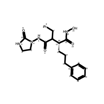 CC(C)CC(C(=O)NN1CCNC1=O)[C@@H](CCCc1ccccc1)C(=O)NO